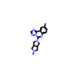 Cc1ccc2nc(N3CC4CN(C)CC4C3)n3ncnc3c2c1